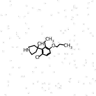 CCCOc1ccc(Cl)c(C2(C)CCNCC2)c1CC